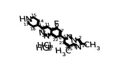 Cc1cn2nc(-c3cc(F)c4cc(C5CCNCC5)nnc4c3)cc(C)c2n1.Cl.Cl